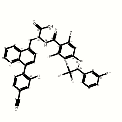 N#Cc1ccc(-c2ccc(C[C@H](NC(=O)c3c(F)cc(N[C@H](c4cccc(F)c4)C(F)(F)F)cc3F)C(=O)O)c3cccnc23)c(Cl)c1